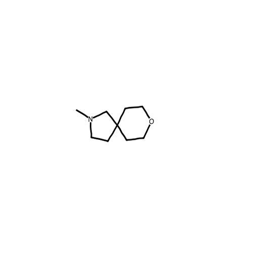 CN1CCC2(CCOCC2)C1